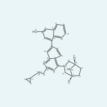 Oc1cc(-c2ccc3c(N4C[C@H]5CC[C@@H](C4)N5)nc(CNC4CC4)nc3c2)c2ccccc2c1